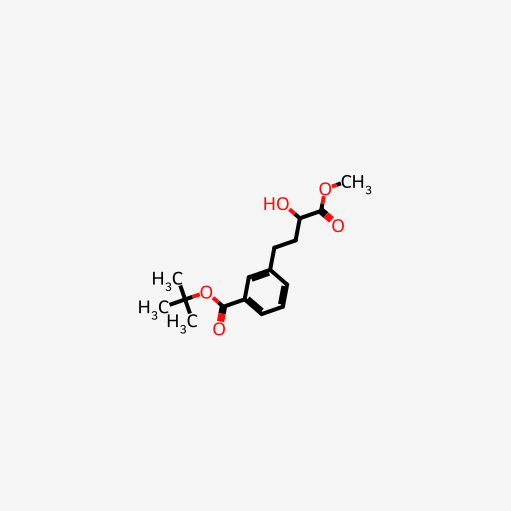 COC(=O)C(O)CCc1cccc(C(=O)OC(C)(C)C)c1